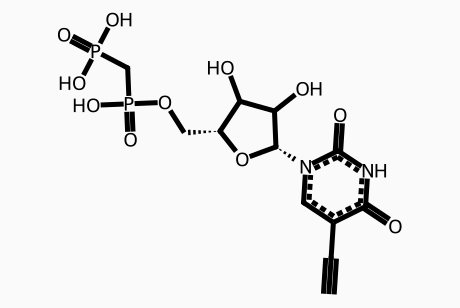 C#Cc1cn([C@@H]2O[C@H](COP(=O)(O)CP(=O)(O)O)C(O)C2O)c(=O)[nH]c1=O